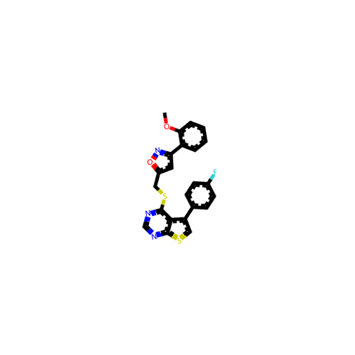 COc1ccccc1-c1cc(CSc2ncnc3scc(-c4ccc(F)cc4)c23)on1